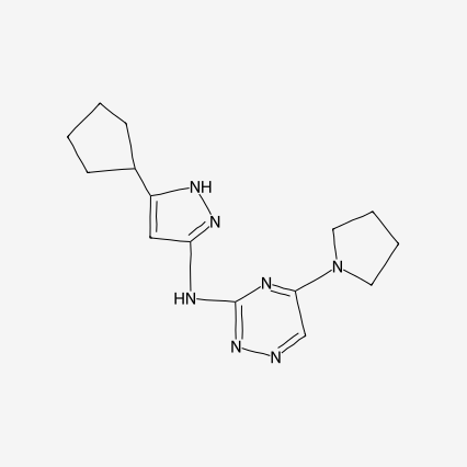 c1nnc(Nc2cc(C3CCCC3)[nH]n2)nc1N1CCCC1